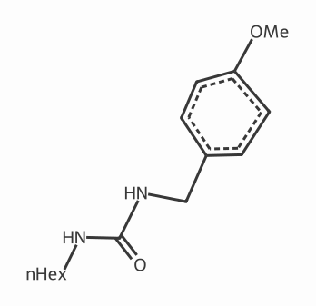 CCCCCCNC(=O)NCc1ccc(OC)cc1